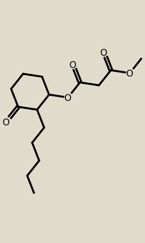 CCCCCC1C(=O)CCCC1OC(=O)CC(=O)OC